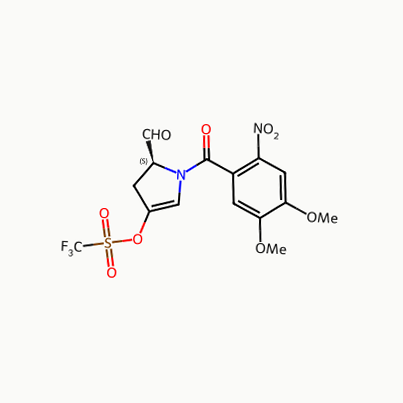 COc1cc(C(=O)N2C=C(OS(=O)(=O)C(F)(F)F)C[C@H]2C=O)c([N+](=O)[O-])cc1OC